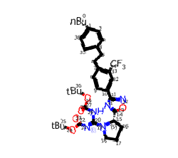 CCCCc1ccc(CCc2ccc(-c3noc([C@@H]4CCCN4/C(=N/C(=O)OC(C)(C)C)NC(=O)OC(C)(C)C)n3)cc2C(F)(F)F)cc1